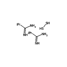 CC(C)C(=N)N.CC(C)C(=N)N.SS